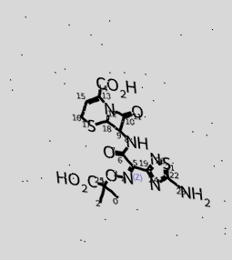 CC(C)(O/N=C(\C(=O)NC1C(=O)N2C(C(=O)O)=CCSC12)c1nsc(N)n1)C(=O)O